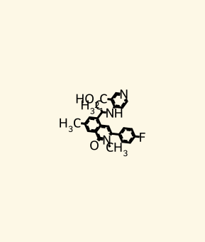 Cc1cc(C(C)Nc2ccncc2C(=O)O)c2cc(-c3ccc(F)cc3)n(C)c(=O)c2c1